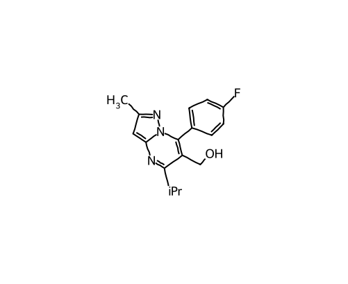 Cc1cc2nc(C(C)C)c(CO)c(-c3ccc(F)cc3)n2n1